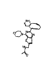 CC(=O)NCc1cc2nc(-c3ccccc3/C=N\N)nc(N3CCOCC3)c2s1